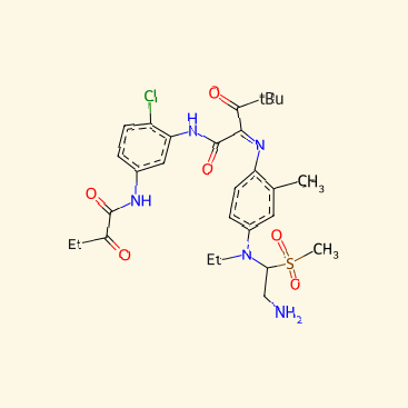 CCC(=O)C(=O)Nc1ccc(Cl)c(NC(=O)/C(=N\c2ccc(N(CC)C(CN)S(C)(=O)=O)cc2C)C(=O)C(C)(C)C)c1